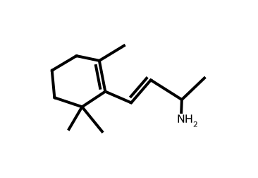 CC1=C(/C=C/C(C)N)C(C)(C)CCC1